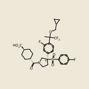 CC(OCC1CC1)(c1ccc([C@]2(S(=O)(=O)c3ccc(F)cc3)CCN(C(=O)[C@H]3CC[C@H](C(=O)O)CC3)C2)cc1F)C(F)(F)F